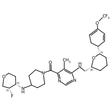 Cc1c(NC[C@H]2CCC[C@@H](C3C=CC(OC(F)(F)F)=CC3)O2)ncnc1C(=O)N1CCC(N[C@H]2CCOC[C@H]2F)CC1